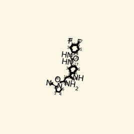 N#C[C@@H]1CCCN1C(=O)C(N)Cc1c[nH]c2ccc(NC(=O)Nc3ccc(F)c(F)c3)cc12